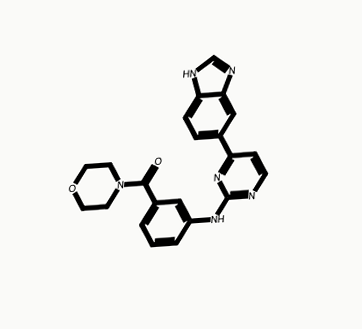 O=C(c1cccc(Nc2nccc(-c3ccc4[nH]cnc4c3)n2)c1)N1CCOCC1